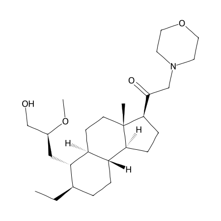 CC[C@@H]1CC[C@@H]2[C@H](CC[C@]3(C)[C@@H](C(=O)CN4CCOCC4)CC[C@@H]23)[C@H]1C[C@@H](CO)OC